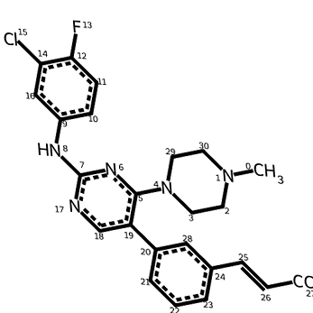 CN1CCN(c2nc(Nc3ccc(F)c(Cl)c3)ncc2-c2cccc(/C=C/C(=O)O)c2)CC1